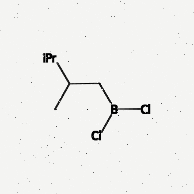 CC(C)C(C)CB(Cl)Cl